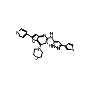 c1cc(-c2cc3nc(Nc4cc(-c5ccsc5)n[nH]4)nc(N4CCOCC4)c3o2)ccn1